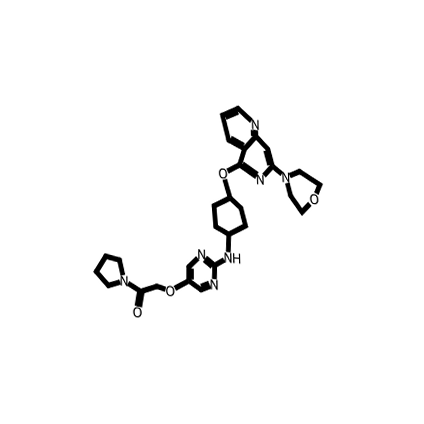 O=C(COc1cnc(NC2CCC(Oc3nc(N4CCOCC4)cc4ncccc34)CC2)nc1)N1CCCC1